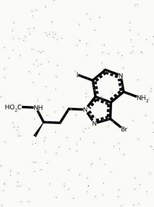 C[C@H](CCn1nc(Br)c2c(N)ncc(I)c21)NC(=O)O